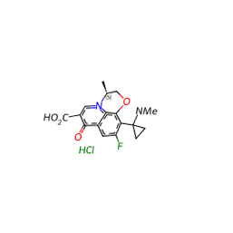 CNC1(c2c(F)cc3c(=O)c(C(=O)O)cn4c3c2OC[C@@H]4C)CC1.Cl